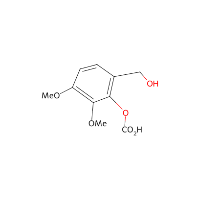 COc1ccc(CO)c(OC(=O)O)c1OC